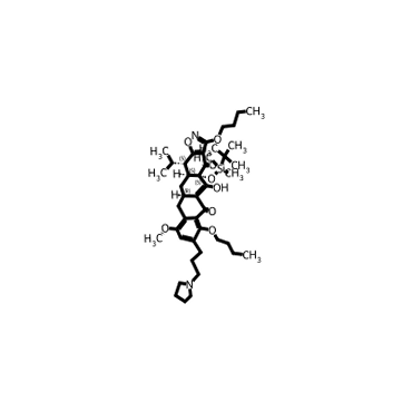 CCCCOc1noc2c1C(=O)[C@@]1(O[Si](C)(C)C(C)(C)C)C(O)=C3C(=O)c4c(c(OC)cc(CCCN5CCCC5)c4OCCCC)C[C@H]3C[C@H]1[C@@H]2C(C)C